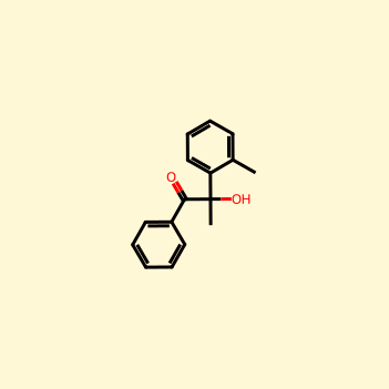 Cc1ccccc1C(C)(O)C(=O)c1ccccc1